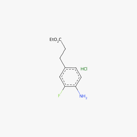 CCOC(=O)CCc1ccc(N)c(F)c1.Cl